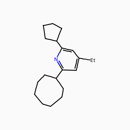 CCc1cc(C2CCCCCCC2)nc(C2CCCC2)c1